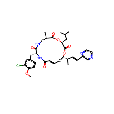 COc1ccc(C[C@H]2NC(=O)/C=C/C[C@@H](C(C)/C=C/c3cnccn3)OC(=O)[C@H](CC(C)C)OC(=O)[C@H](C)CNC2=O)cc1Cl